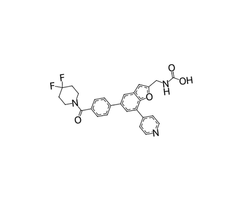 O=C(O)NCc1cc2cc(-c3ccc(C(=O)N4CCC(F)(F)CC4)cc3)cc(-c3ccncc3)c2o1